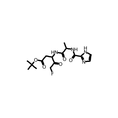 CC(NC(=O)c1ncc[nH]1)C(=O)NC(CC(=O)OC(C)(C)C)C(=O)CF